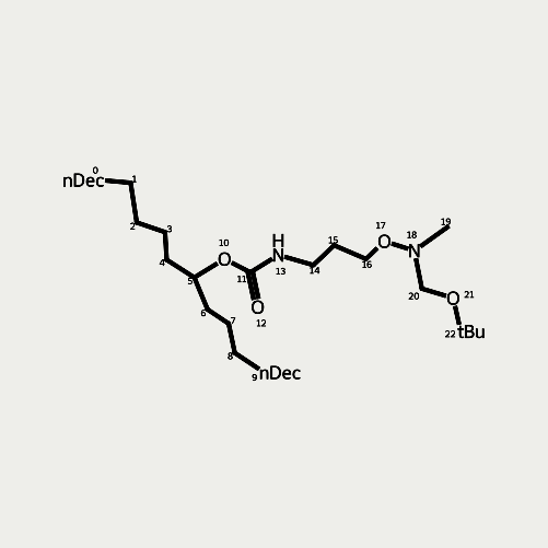 CCCCCCCCCCCCCCC(CCCCCCCCCCCCC)OC(=O)NCCCON(C)COC(C)(C)C